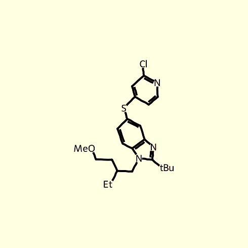 CCC(CCOC)Cn1c(C(C)(C)C)nc2cc(Sc3ccnc(Cl)c3)ccc21